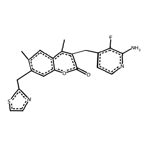 Cc1cc2c(C)c(Cc3ccnc(N)c3F)c(=O)oc2cc1Cc1nccs1